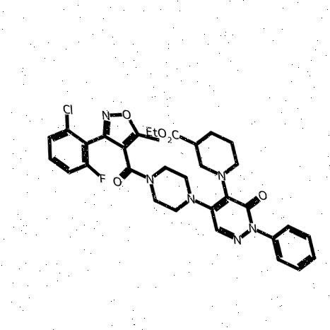 CCOC(=O)C1CCCN(c2c(N3CCN(C(=O)c4c(-c5c(F)cccc5Cl)noc4C)CC3)cnn(-c3ccccc3)c2=O)C1